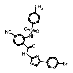 Cc1ccc(S(=O)(=O)Nc2cc(C#N)ccc2C(=O)Nc2nc(-c3ccc(Br)cc3)cs2)cc1